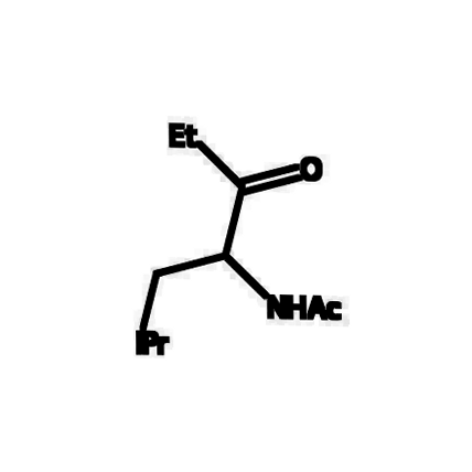 CCC(=O)C(CC(C)C)NC(C)=O